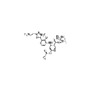 BC(B)(B)NC(=O)c1cnc(NC(=O)C2CC2)cc1Nc1cccc(-c2cnn(CCN)n2)c1OC